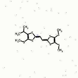 CSC1=C(SC)SC(=C/C=C2\SC(SC)=C(C(C)C)S2)S1